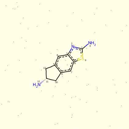 Nc1nc2cc3c(cc2s1)C[C@H](N)C3